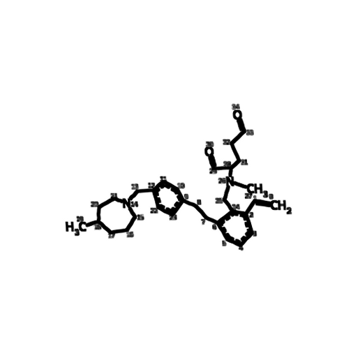 C=Cc1cccc(CCc2ccc(CN3CCCC(C)CC3)cc2)c1CN(C)C(C=O)CCC=O